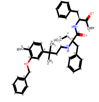 COC(=O)[C@H](Cc1ccccc1)NC(=O)[C@@](CC(=O)O)(Cc1ccccc1)NCCC(C)(C)c1ccc(OC)c(OCc2ccccc2)c1